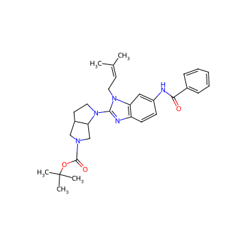 CC(C)=CCn1c(N2CCC3CN(C(=O)OC(C)(C)C)CC32)nc2ccc(NC(=O)c3ccccc3)cc21